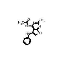 CC(=O)Nc1nc(C)nc2[nH]cc(Nc3ccccc3)c12